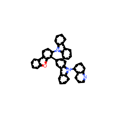 c1cc(-n2c3ccccc3c3cc(-c4c(-n5c6ccccc6c6ccccc65)ccc5c4oc4ccccc45)ccc32)c2cccnc2c1